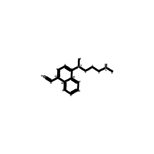 CNCCCN(C)c1ccc(C=O)c2ccccc12